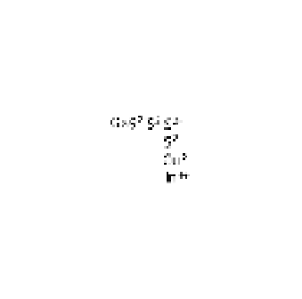 [Cu+2].[Ga+3].[In+3].[S-2].[S-2].[S-2].[S-2]